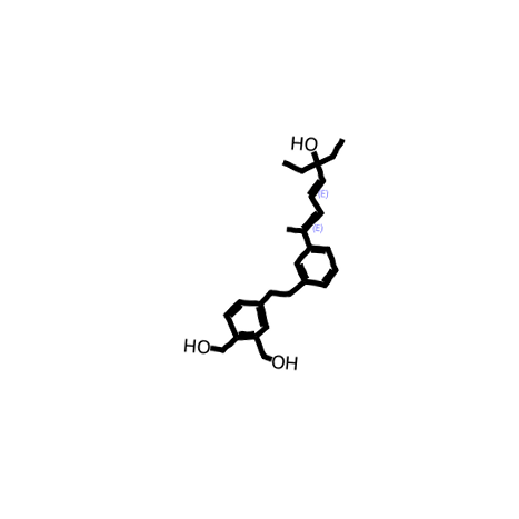 CCC(O)(/C=C/C=C(\C)c1cccc(CCc2ccc(CO)c(CO)c2)c1)CC